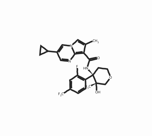 Cc1cn2cc(C3CC3)cnc2c1C(=O)N[C@@]1(c2ccc(C(F)(F)F)cc2F)CCOC[C@]1(C)O